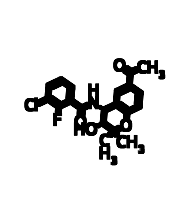 CC(=O)c1ccc2c(c1)[C@@H](NC(=O)c1cccc(Cl)c1F)[C@H](O)C(C)(C)O2